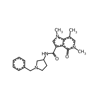 Cc1cn(C)c(=O)c2c(C(=O)NC3CCN(Cc4ccccc4)C3)cn(C)c12